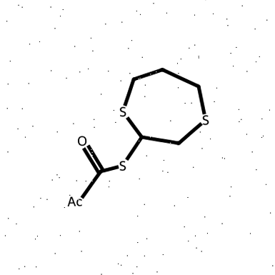 CC(=O)C(=O)SC1CSCCCS1